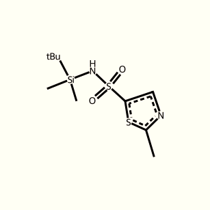 Cc1ncc(S(=O)(=O)N[Si](C)(C)C(C)(C)C)s1